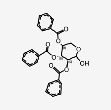 O=C(O[C@H]1[C@H](OC(=O)c2ccccc2)C(O)OC[C@H]1OC(=O)c1ccccc1)c1ccccc1